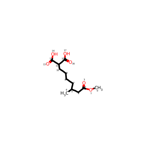 COC(=O)CC(C)CCCCC(C(=O)O)C(=O)O